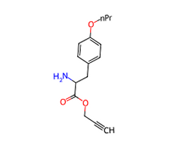 C#CCOC(=O)C(N)Cc1ccc(OCCC)cc1